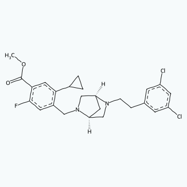 COC(=O)c1cc(C2CC2)c(CN2C[C@@H]3C[C@H]2CN3CCc2cc(Cl)cc(Cl)c2)cc1F